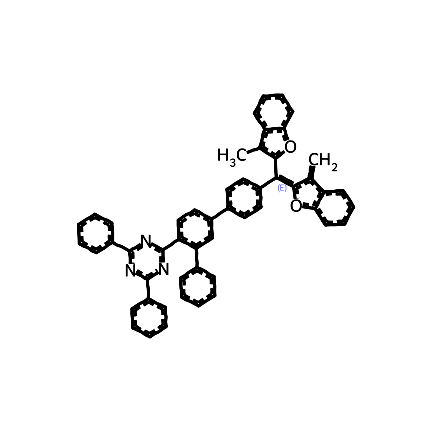 C=c1/c(=C(/c2ccc(-c3ccc(-c4nc(-c5ccccc5)nc(-c5ccccc5)n4)c(-c4ccccc4)c3)cc2)c2oc3ccccc3c2C)oc2ccccc12